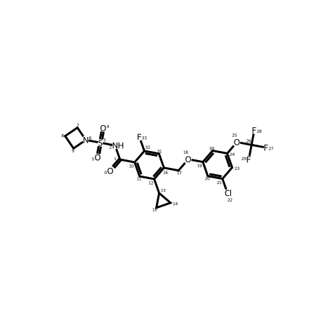 O=C(NS(=O)(=O)N1CCC1)c1cc(C2CC2)c(COc2cc(Cl)cc(OC(F)(F)F)c2)cc1F